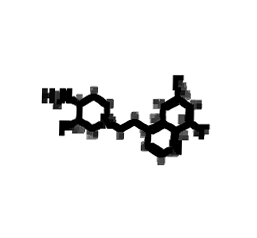 N[C@H]1CCN(CCc2ccnc3c(F)cc(F)cc23)C[C@H]1F